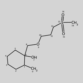 CC1CCCCC1(O)COCCCS(C)(=O)=O